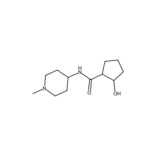 CN1CCC(NC(=O)C2CCCC2O)CC1